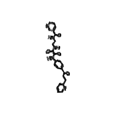 O=C(NCCNC(=O)c1cccnc1)C(=O)Nc1ccc(C(=O)/C=C/c2ccccn2)cc1